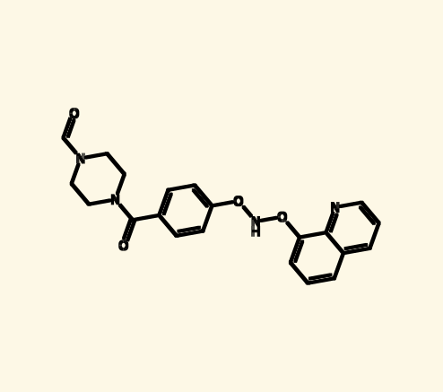 O=CN1CCN(C(=O)c2ccc(ONOc3cccc4cccnc34)cc2)CC1